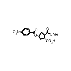 COC(=O)[C@@H]1C[C@H](OC(=O)c2ccc([N+](=O)[O-])cc2)C[C@H]1C(=O)O